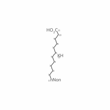 CCCCCCCCCCCCCCCCCCCC(=O)O.[KH]